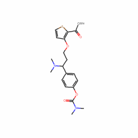 COC(=O)c1sccc1OCCC(c1ccc(OC(=O)N(C)C)cc1)N(C)C